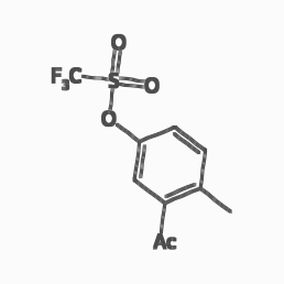 CC(=O)c1cc(OS(=O)(=O)C(F)(F)F)ccc1C